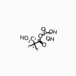 CC(C)(C(=O)O)C(=O)OP(=O)(O)O